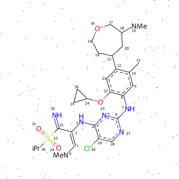 CN/C=C(/Nc1nc(Nc2cc(C)c(C3CCOCC(NC)C3)cc2OC2CC2)ncc1Cl)C(=N)S(=O)(=O)C(C)C